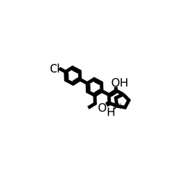 CCc1cc(-c2ccc(Cl)cc2)ccc1C1=C(O)C2CC[C@H](C2)C1=O